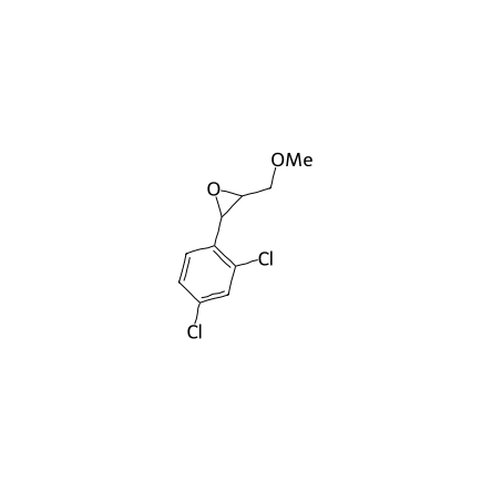 COCC1OC1c1ccc(Cl)cc1Cl